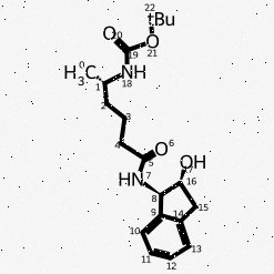 C[C@@H](CCCC(=O)N[C@@H]1c2ccccc2C[C@@H]1O)NC(=O)OC(C)(C)C